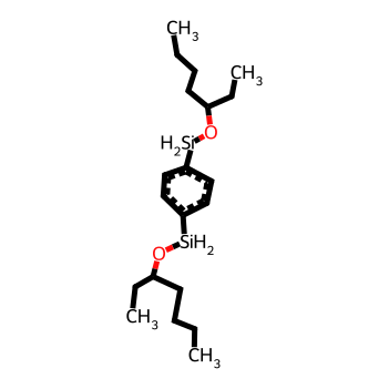 CCCCC(CC)O[SiH2]c1ccc([SiH2]OC(CC)CCCC)cc1